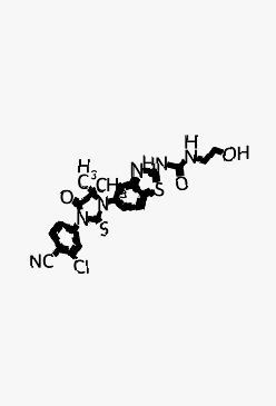 CC1(C)C(=O)N(c2ccc(C#N)c(Cl)c2)C(=S)N1c1ccc2sc(NC(=O)NCCO)nc2c1